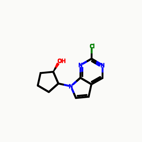 O[C@@H]1CCCC1n1ccc2cnc(Cl)nc21